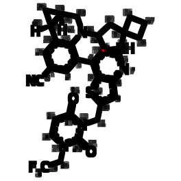 N#Cc1cc(-c2ccnc3cc(Cn4c(=O)ccn(CC(F)(F)F)c4=O)sc23)c2c(c1)[C@@H]1C[C@@H]1CN2C1CNC2(CCC2)C1